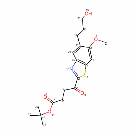 COc1cc2sc(C(=O)CCC(=O)OC(C)(C)C)nc2cc1CCCO